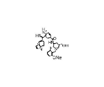 COc1cccc(F)c1CN1CC(CO)CC(NC(=O)c2ccc(N)c(C(=N)c3ccc4nccn4c3)c2)C1